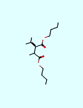 CCCCOC(=O)C(=C(C)C)C(C)C(=O)OCCCC